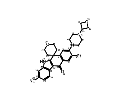 CCc1cc2c(cc1N1CCN(C3COC3)CC1)C1(CCOCC1)c1[nH]c3cc(C#N)ccc3c1C2=O